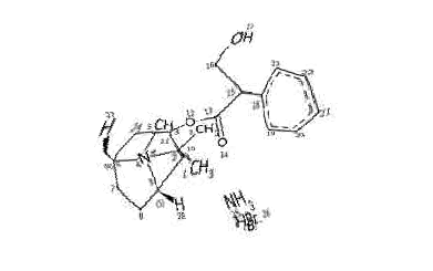 Br.CC(C)[N+]1(C)[C@@H]2CC[C@H]1CC(OC(=O)C(CO)c1ccccc1)C2.N.[Br-]